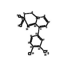 O=S1(=O)CCN2C=CC=C(c3ccc(Cl)c(C(F)(F)F)c3)C2=N1